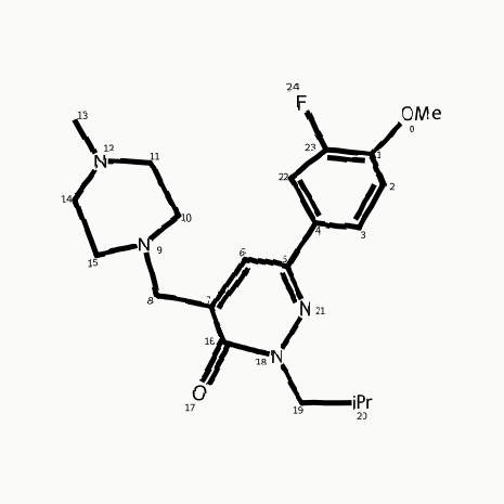 COc1ccc(-c2cc(CN3CCN(C)CC3)c(=O)n(CC(C)C)n2)cc1F